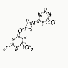 Fc1cc(OC2CN(c3cc(Cl)ncn3)C2)cc(C(F)(F)F)c1